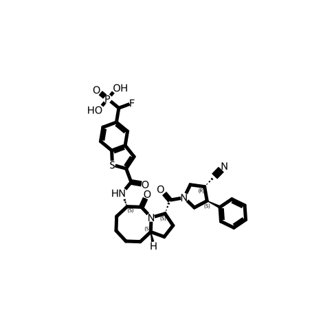 N#C[C@H]1CN(C(=O)[C@@H]2CC[C@@H]3CCCC[C@H](NC(=O)c4cc5cc(C(F)P(=O)(O)O)ccc5s4)C(=O)N32)C[C@@H]1c1ccccc1